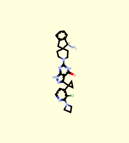 N[C@@H]1c2ccccc2CC12CCN(c1nc3[nH]nc(C4(c5ccnc(N6CCC6)c5Cl)CC4)c3c(=O)[nH]1)CC2